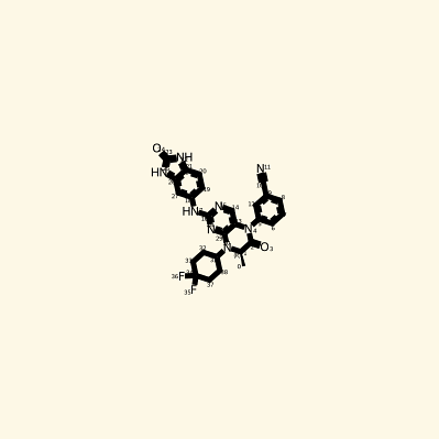 C[C@@H]1C(=O)N(c2cccc(C#N)c2)c2cnc(Nc3ccc4[nH]c(=O)[nH]c4c3)nc2N1C1CCC(F)(F)CC1